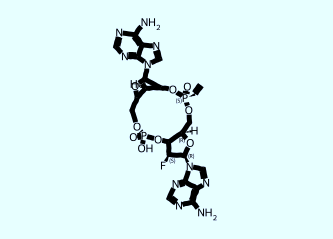 C=C[P@]1(=O)OC[C@H]2O[C@@H](n3cnc4c(N)ncnc43)[C@@H](F)C2OP(=O)(O)OCC2OC(n3cnc4c(N)ncnc43)C(O1)C2O